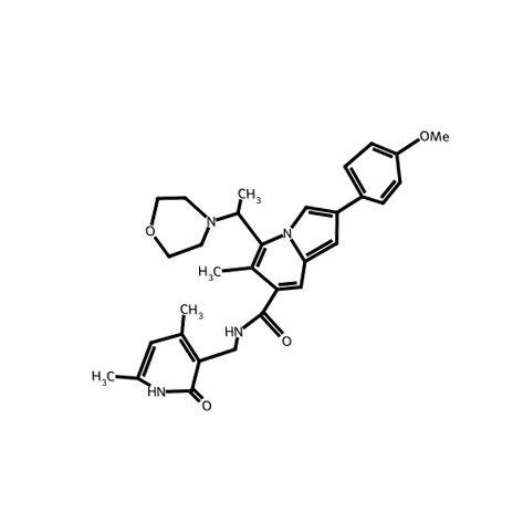 COc1ccc(-c2cc3cc(C(=O)NCc4c(C)cc(C)[nH]c4=O)c(C)c(C(C)N4CCOCC4)n3c2)cc1